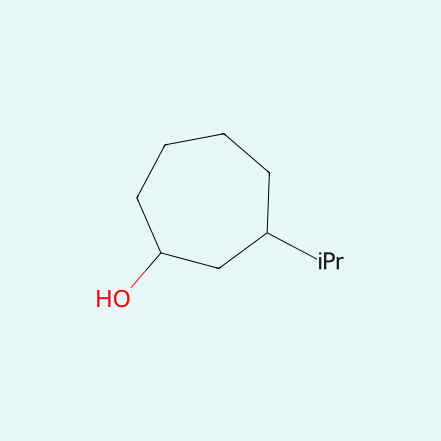 CC(C)C1CCCCC(O)C1